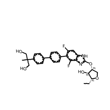 CC[C@H]1OC[C@@H](Oc2nc3c(F)c(-c4ccc(-c5ccc(C(C)(CO)CO)cc5)cc4)c(F)cc3[nH]2)[C@@H]1O